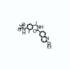 CCOc1ccc2cc(C(=O)N[C@H](C)c3ccc(NS(C)(=O)=O)c(C)c3)ccc2n1